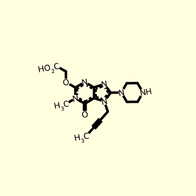 CC#CCn1c(N2CCNCC2)nc2nc(OCC(=O)O)n(C)c(=O)c21